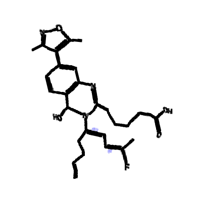 C=CCC/C(=C\C=C(/C)F)N1C(CCCCC(=O)O)=Nc2cc(-c3c(C)noc3C)ccc2C1O